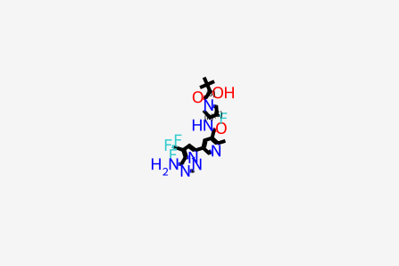 Cc1ncc(-c2cc(C(F)(F)F)c3c(N)ncnn23)cc1C(=O)N[C@@H]1CN(C(=O)[C@@H](O)C(C)(C)C)C[C@@H]1F